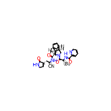 CC(C)(C)[C@H](NC(=O)c1ccccn1)C(=O)N1C[C@H]2[C@@H]([C@H]1C(=O)N[C@H](C#N)C[C@@H]1CCNC1=O)[C@H]1C=C[C@@H]2C1